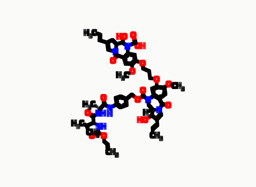 C=CCOC(=O)N[C@@H](C(=O)N[C@H](C)C(=O)Nc1ccc(COC(=O)N2C[C@H]3C(O)C(/C=C/C)=CN3C(=O)c3cc(OC)c(OCCCOc4cc5c(cc4OC)C(=O)N4C=C(/C=C/C)CC4C(O)N5C(=O)O)cc32)cc1)C(C)C